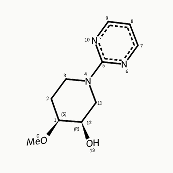 CO[C@H]1CCN(c2ncccn2)C[C@H]1O